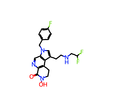 O=C1c2ncc3c(c(CCNCC(F)F)cn3Cc3ccc(F)cc3)c2CCN1O